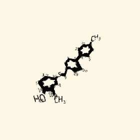 Cc1ccc(-c2ccc(CSc3ccc(O)c(C)c3)cc2)cc1